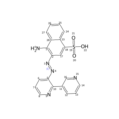 Nc1c(/N=N/c2cccnc2-c2cccnc2)cc(S(=O)(=O)O)c2ccccc12